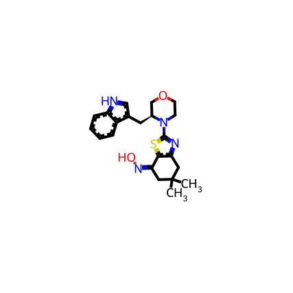 CC1(C)C/C(=N/O)c2sc(N3CCOC[C@@H]3Cc3c[nH]c4ccccc34)nc2C1